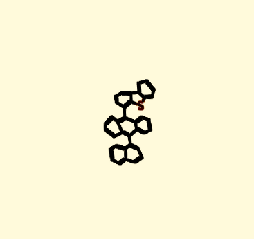 c1ccc2c(-c3c4ccccc4c(-c4cccc5c4sc4ccccc45)c4ccccc34)cccc2c1